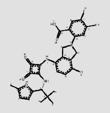 Cc1ccc([C@H](Nc2c(Nc3ccc(Cl)c4c3CN(c3cc(F)c(F)cc3C(=O)O)C4)c(=O)c2=O)C(C)(C)C)o1